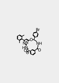 Cc1cccc(C)c1-c1cc2nc(n1)NS(=O)(=O)c1cccc(c1)C(=O)CNCC(c1ccc(Br)cc1)O2